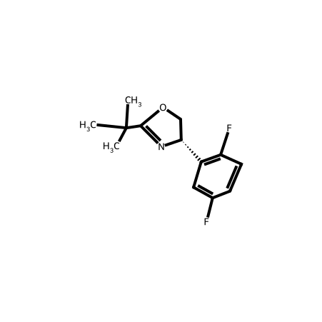 CC(C)(C)C1=N[C@@H](c2cc(F)ccc2F)CO1